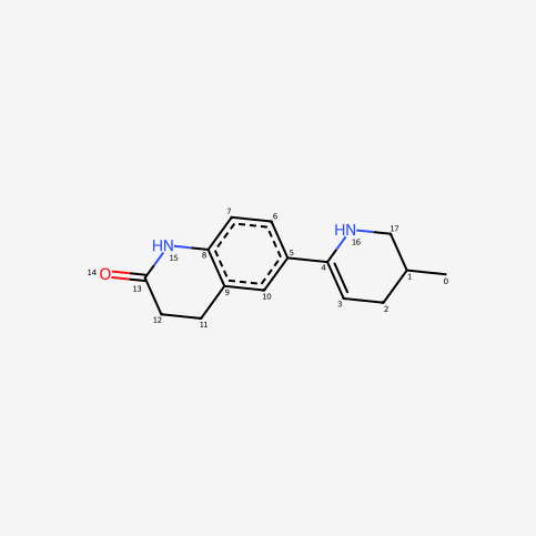 CC1CC=C(c2ccc3c(c2)CCC(=O)N3)NC1